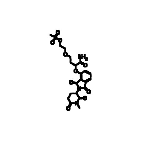 CN1C(=O)CCC(N2C(=O)c3cccc(OC(CCOCCOS(C)(=O)=O)C(N)=O)c3C2=O)C1=O